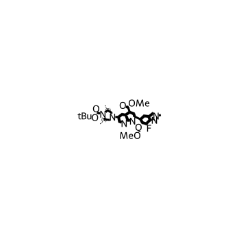 COCOc1c(-c2cc(C(=O)OC)c3cc(N4C[C@@H](C)N(C(=O)OC(C)(C)C)[C@@H](C)C4)cnc3n2)cc2cn(C)nc2c1F